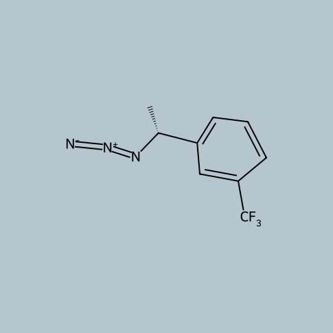 C[C@@H](N=[N+]=[N-])c1cccc(C(F)(F)F)c1